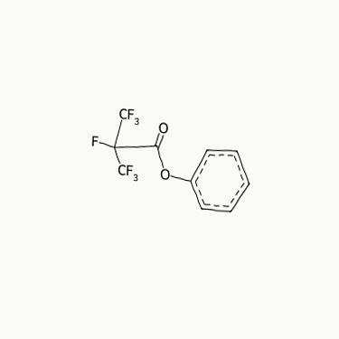 O=C(Oc1ccccc1)C(F)(C(F)(F)F)C(F)(F)F